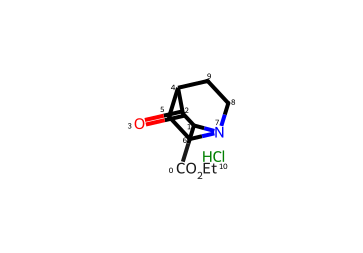 CCOC(=O)C1C(=O)C2CCN1CC2.Cl